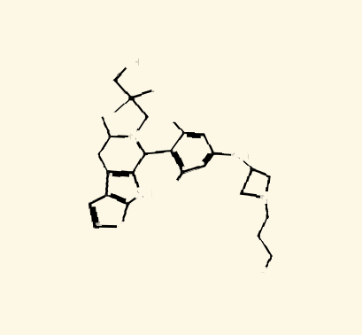 CC1Cc2c([nH]c3sccc23)C(c2c(F)cc(NC3CN(CCCF)C3)cc2F)N1CC(F)(F)CO